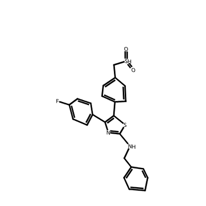 O=[SH](=O)Cc1ccc(-c2sc(NCc3ccccc3)nc2-c2ccc(F)cc2)cc1